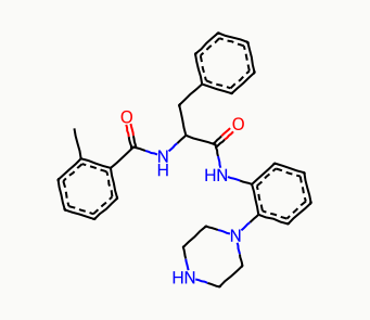 Cc1ccccc1C(=O)NC(Cc1ccccc1)C(=O)Nc1ccccc1N1CCNCC1